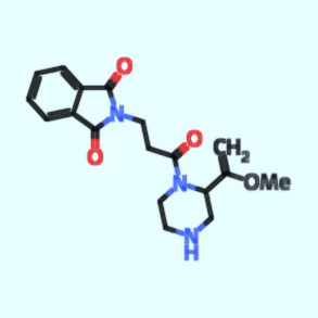 C=C(OC)C1CNCCN1C(=O)CCN1C(=O)c2ccccc2C1=O